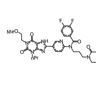 CCCn1c(=O)n(CCOC)c(=O)c2[nH]c(-c3ccc(N(CCCN4CCCCC4=O)C(=O)c4ccc(F)c(F)c4)nc3)nc21